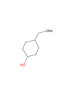 CSCC1CCC(O)CC1